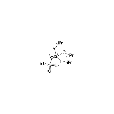 CCS(=O)(=O)O[Si](CC(C)C)(CC(C)C)CC(C)C